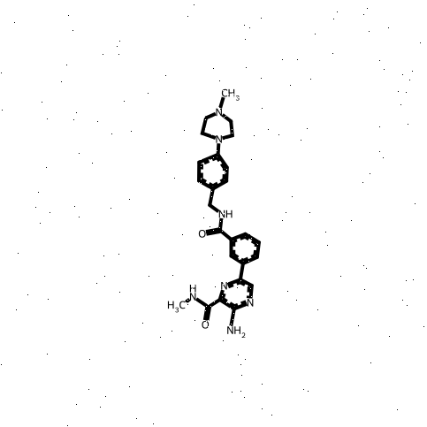 CNC(=O)c1nc(-c2cccc(C(=O)NCc3ccc(N4CCN(C)CC4)cc3)c2)cnc1N